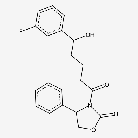 O=C(CCCC(O)c1cccc(F)c1)N1C(=O)OCC1c1ccccc1